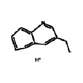 [CH2]Cc1cnc2ccccc2c1.[H+]